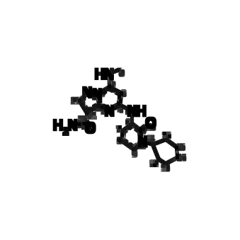 CNc1cc(Nc2cccn(C3CCCCC3)c2=O)nc2c(C(N)=O)cnn12